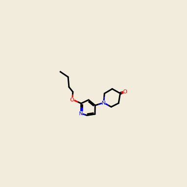 CCCCOc1cc(N2CCC(=O)CC2)ccn1